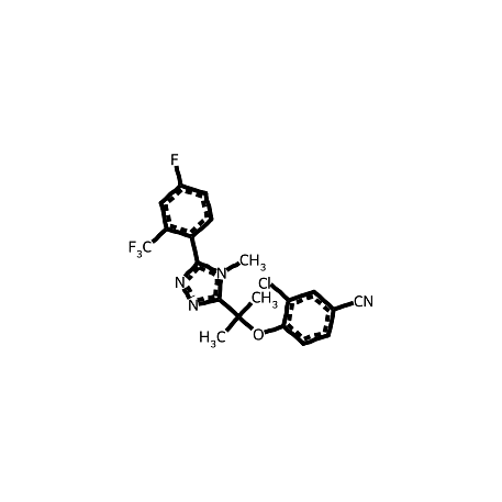 Cn1c(-c2ccc(F)cc2C(F)(F)F)nnc1C(C)(C)Oc1ccc(C#N)cc1Cl